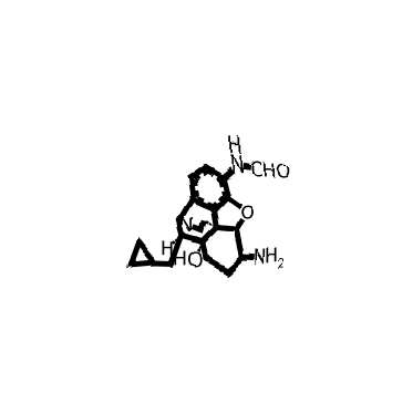 NC1CC[C@@]2(O)[C@H]3Cc4ccc(NC=O)c5c4[C@@]2(CCN3CC2CC2)C1O5